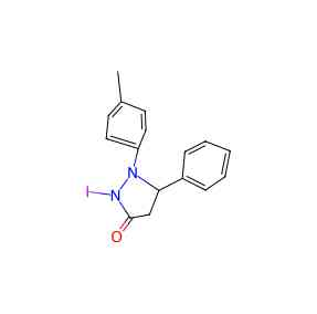 Cc1ccc(N2C(c3ccccc3)CC(=O)N2I)cc1